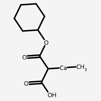 [CH3][Ca][CH](C(=O)O)C(=O)OC1CCCCC1